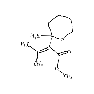 COC(=O)C(=C(C)C)C1([SiH3])CCCCO1